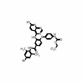 Cc1cc(Br)cc(C)c1NC(=O)c1ccc(Sc2ccc(NC(=O)OCC(Cl)(Cl)Cl)cc2)c(Nc2ncnc3nc(C(C)C)ccc23)c1